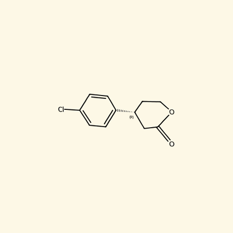 O=C1C[C@H](c2ccc(Cl)cc2)CCO1